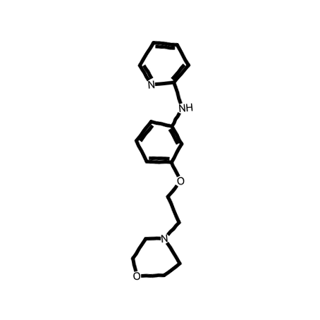 c1ccc(Nc2cccc(OCCN3CCOCC3)c2)nc1